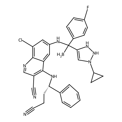 BC(Nc1cc(Cl)c2ncc(C#N)c(N[C@@H](CCC#N)c3ccccc3)c2c1)(C1=CN(C2CC2)NN1)c1ccc(F)cc1